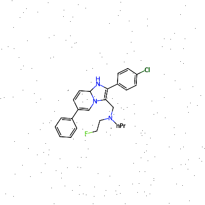 CCCN(CCF)CC1=C(c2ccc(Cl)cc2)NC2C=CC(c3ccccc3)=CN12